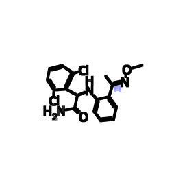 CO/N=C(\C)c1ccccc1NC(C(N)=O)c1c(Cl)cccc1Cl